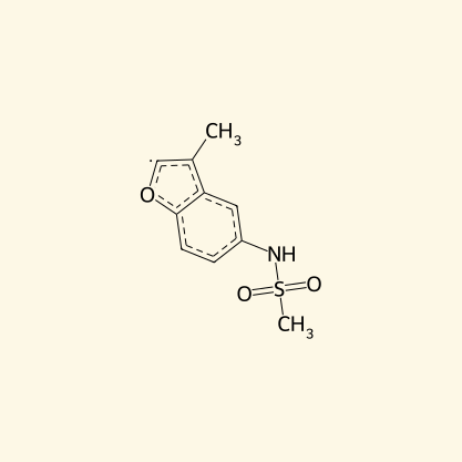 Cc1[c]oc2ccc(NS(C)(=O)=O)cc12